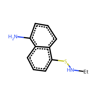 CCNSc1cccc2c(N)cccc12